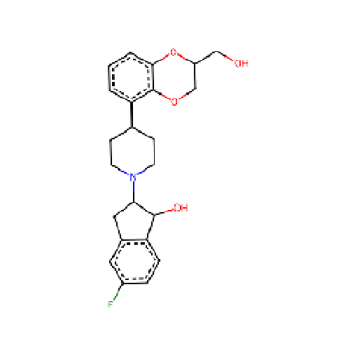 OCC1COc2c(cccc2C2CCN(C3Cc4cc(F)ccc4C3O)CC2)O1